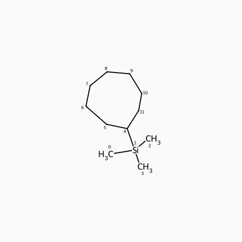 C[Si](C)(C)C1CCCCCCC1